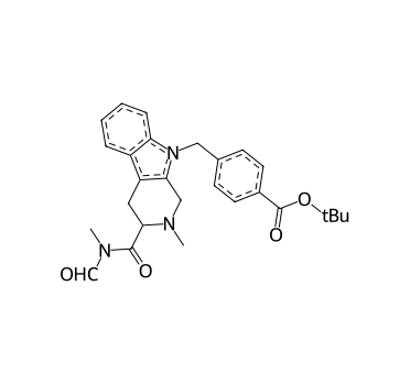 CN(C=O)C(=O)C1Cc2c(n(Cc3ccc(C(=O)OC(C)(C)C)cc3)c3ccccc23)CN1C